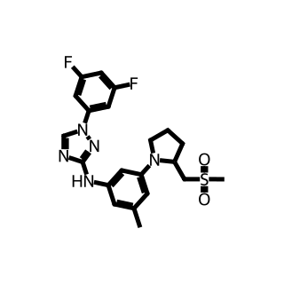 Cc1cc(Nc2ncn(-c3cc(F)cc(F)c3)n2)cc(N2CCCC2CS(C)(=O)=O)c1